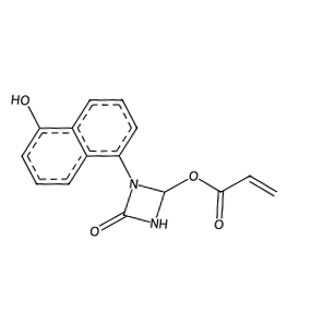 C=CC(=O)OC1NC(=O)N1c1cccc2c(O)cccc12